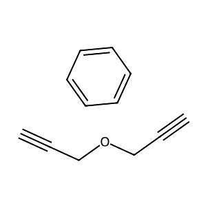 C#CCOCC#C.c1ccccc1